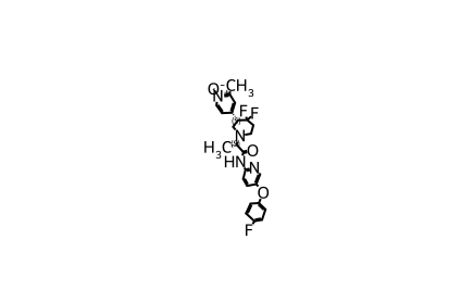 Cc1cc([C@H]2CN([C@@H](C)C(=O)Nc3ccc(Oc4ccc(F)cc4)cn3)CCC2(F)F)cc[n+]1[O-]